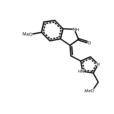 COCc1ncc(C=C2C(=O)Nc3ccc(OC)cc32)[nH]1